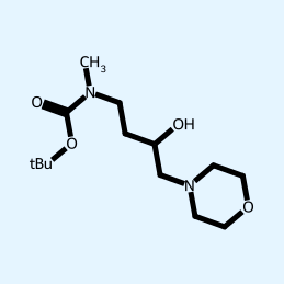 CN(CCC(O)CN1CCOCC1)C(=O)OC(C)(C)C